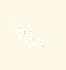 O=C1O[C@@H](Cn2ccnn2)CN1c1cc(F)c(C2=CCS(=O)(=O)CC2)c(F)c1F